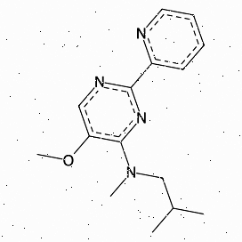 COc1cnc(-c2ccccn2)nc1N(C)CC(C)C